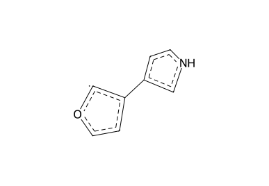 [c]1occc1-c1cc[nH]c1